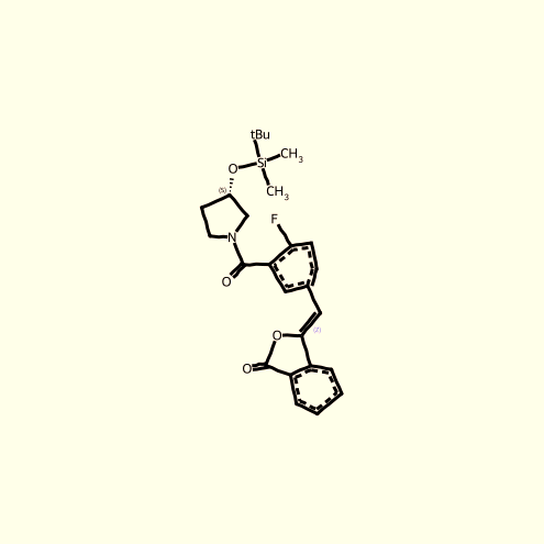 CC(C)(C)[Si](C)(C)O[C@H]1CCN(C(=O)c2cc(/C=C3\OC(=O)c4ccccc43)ccc2F)C1